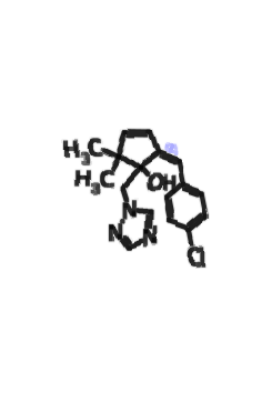 CC1(C)C=C/C(=C/c2ccc(Cl)cc2)C1(O)Cn1cncn1